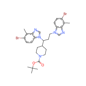 Cc1c(Br)ccc2c1ncn2CCC(C1CCN(C(=O)OC(C)(C)C)CC1)n1cnc2c(C)c(Br)ccc21